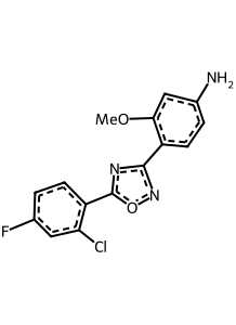 COc1cc(N)ccc1-c1noc(-c2ccc(F)cc2Cl)n1